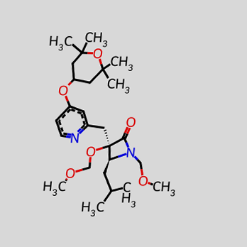 COCO[C@@]1(Cc2cc(OC3CC(C)(C)OC(C)(C)C3)ccn2)C(=O)N(COC)[C@H]1CC(C)C